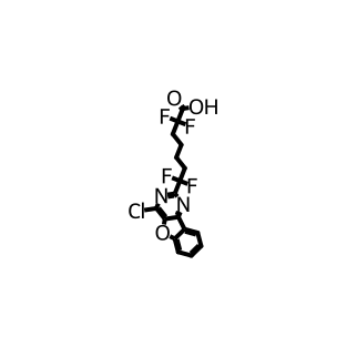 O=C(O)C(F)(F)CCCCC(F)(F)c1nc(Cl)c2oc3ccccc3c2n1